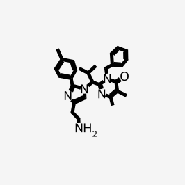 Cc1ccc(-c2nc(CCN)cn2C(c2nc(C)c(C)c(=O)n2Cc2ccccc2)C(C)C)cc1